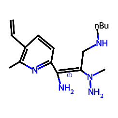 C=Cc1ccc(/C(N)=C(\CNCCCC)N(C)N)nc1C